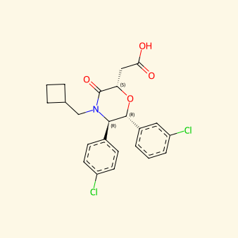 O=C(O)C[C@@H]1O[C@H](c2cccc(Cl)c2)[C@@H](c2ccc(Cl)cc2)N(CC2CCC2)C1=O